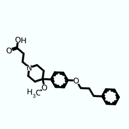 COC1(c2ccc(OCCCc3ccccc3)cc2)CCN(CCC(=O)O)CC1